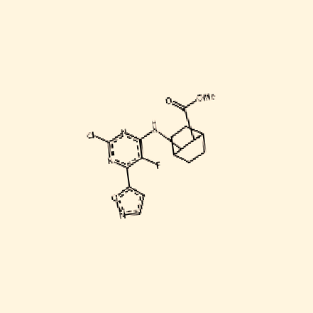 COC(=O)C1C2CCC(CC2)C1Nc1nc(Cl)nc(-c2ccno2)c1F